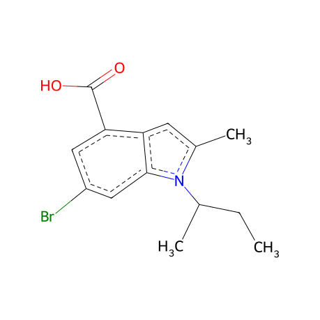 CCC(C)n1c(C)cc2c(C(=O)O)cc(Br)cc21